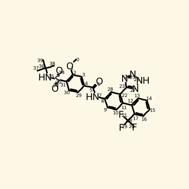 COc1cc(C(=O)Nc2ccc(-c3ccccc3C(F)(F)F)c(-c3nn[nH]n3)c2)ccc1S(=O)(=O)NC(C)(C)C